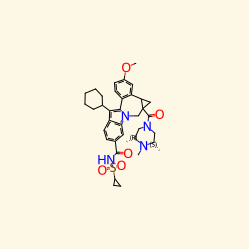 COc1ccc2c(c1)C1CC1(C(=O)N1C[C@@H](C)N(C)[C@@H](C)C1)Cn1c-2c(C2CCCCC2)c2ccc(C(=O)NS(=O)(=O)C3CC3)cc21